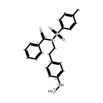 Cc1ccc(S(=O)(=O)N(CCc2ccc(NS(=O)(=O)O)cc2)C(=O)c2ccccc2)cc1